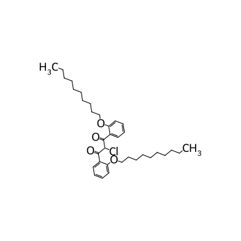 CCCCCCCCCCOc1ccccc1C(=O)C(Cl)C(=O)c1ccccc1OCCCCCCCCCC